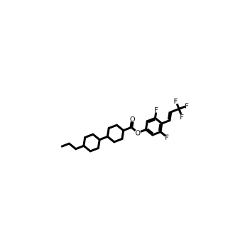 CCCC1CCC(C2CCC(C(=O)Oc3cc(F)c(/C=C/C(F)(F)F)c(F)c3)CC2)CC1